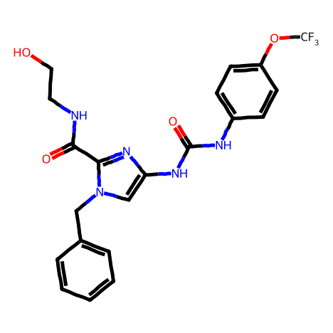 O=C(Nc1ccc(OC(F)(F)F)cc1)Nc1cn(Cc2ccccc2)c(C(=O)NCCO)n1